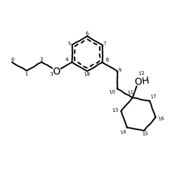 CCCOc1cccc(CCC2(O)CCCCC2)c1